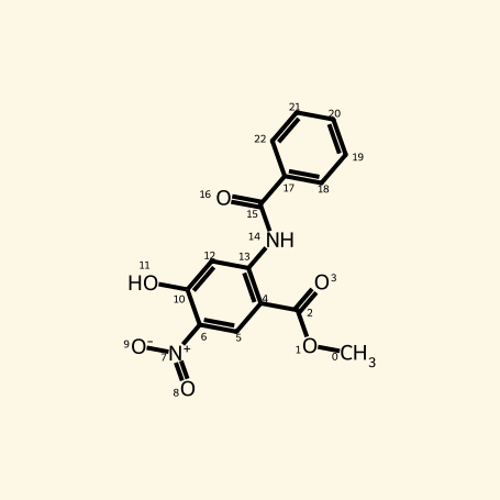 COC(=O)c1cc([N+](=O)[O-])c(O)cc1NC(=O)c1ccccc1